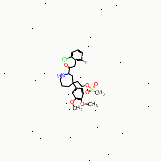 COc1ccc(C2(CCOS(C)(=O)=O)CCCNC(C(=O)Cc3c(F)cccc3Cl)C2)cc1OC